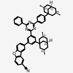 C[C@@H]1C[C@@H]2C[C@H](C)CC(c3ccc(-c4nc(-c5ccccc5)nc(-c5cc(-c6ccc7oc8ccc(C#N)cc8c7c6)cc(C67C[C@H](C)C[C@H](C[C@H](C)C6)C7)c5)n4)cc3)(C1)C2